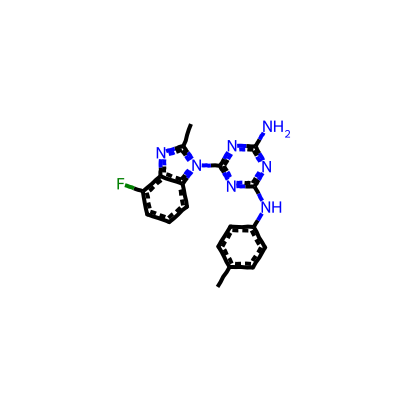 Cc1ccc(Nc2nc(N)nc(-n3c(C)nc4c(F)cccc43)n2)cc1